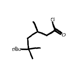 CCCCC(C)(C)CC(C)CC(=O)Cl